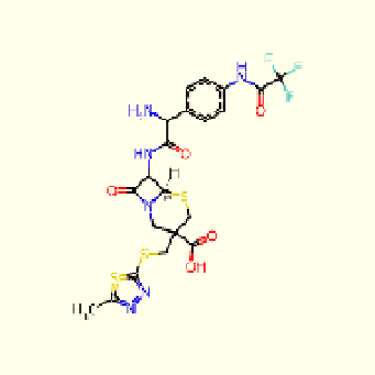 Cc1nnc(SCC2(C(=O)O)CS[C@@H]3C(NC(=O)C(N)c4ccc(NC(=O)C(F)(F)F)cc4)C(=O)N3C2)s1